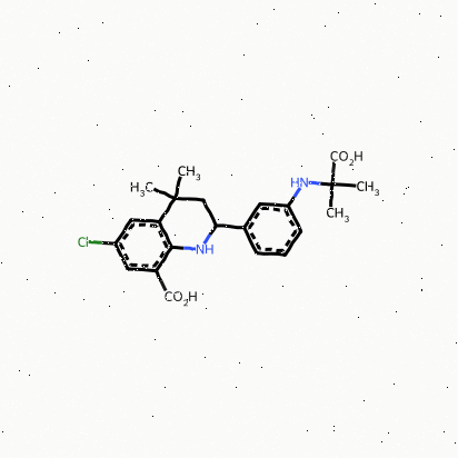 CC(C)(Nc1cccc(C2CC(C)(C)c3cc(Cl)cc(C(=O)O)c3N2)c1)C(=O)O